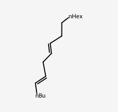 [CH2]CCC/C=C/C/C=C/CCCCCCCC